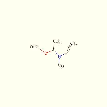 C=CN(CCCC)C(OC=O)C(Cl)(Cl)Cl